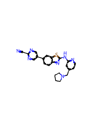 N#Cc1ncc(-c2ccc3nc(Nc4cc(CN5CCCC5)ccn4)sc3c2)cn1